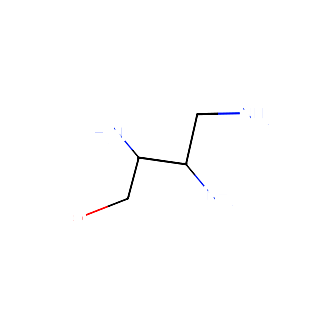 NCC(N)C(N)CO